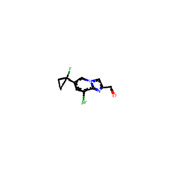 O=Cc1cn2cc(C3(F)CC3)cc(Br)c2n1